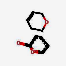 C1=CCOCC1.O=c1cccco1